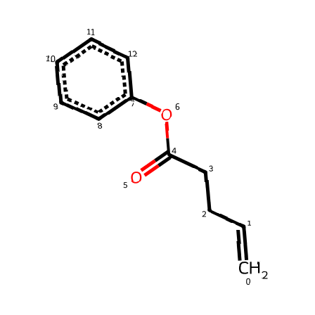 C=CCCC(=O)Oc1ccccc1